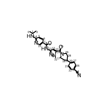 CC(C)Nc1ccc(C(=O)Nc2cc(C(=O)N3CCC(c4ccc(C#N)cc4)CC3)n(C)n2)cn1